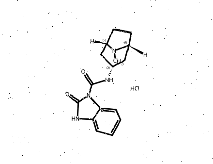 CN1[C@@H]2CC[C@H]1C[C@@H](NC(=O)n1c(=O)[nH]c3ccccc31)C2.Cl